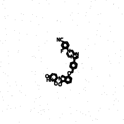 N#Cc1ccc(N2CCn3c(-c4ccc(COc5cccc6c5CN([C@H]5CCC(=O)NC5=O)C6=O)cc4)cnc3C2)c(F)c1